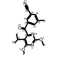 COc1nc(OC)c(C(C)C)c(C(=O)c2cc(C)cc(C#N)c2)n1